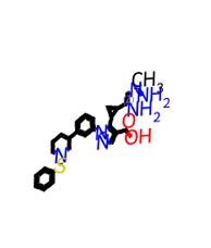 CN(N)/C=C(\N)C1CC1c1c(C(=O)O)cnn1-c1cccc(C2CCCN(Sc3ccccc3)C2)c1